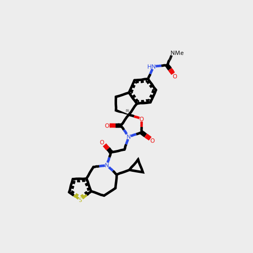 CNC(=O)Nc1ccc2c(c1)CC[C@]21OC(=O)N(CC(=O)N2Cc3ccsc3CCC2C2CC2)C1=O